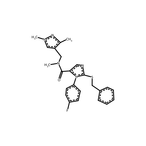 Cc1nn(C)cc1CN(C)C(=O)c1cnc(SCc2ccccc2)n1-c1ccc(F)cc1